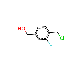 OCc1ccc(CCl)c(F)c1